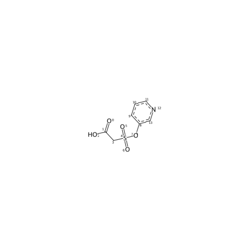 O=C(O)CS(=O)(=O)Oc1cccnc1